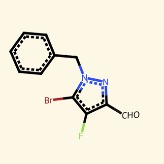 O=Cc1nn(Cc2ccccc2)c(Br)c1F